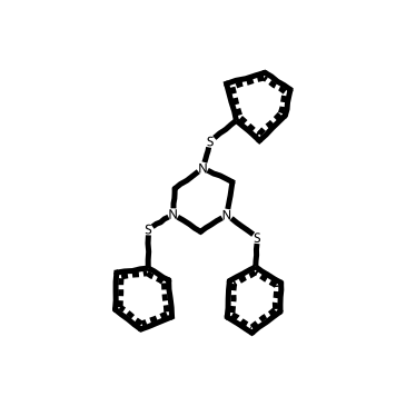 c1ccc(SN2CN(Sc3ccccc3)CN(Sc3ccccc3)C2)cc1